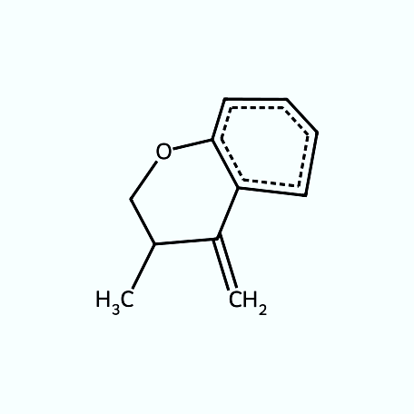 C=C1c2ccccc2OCC1C